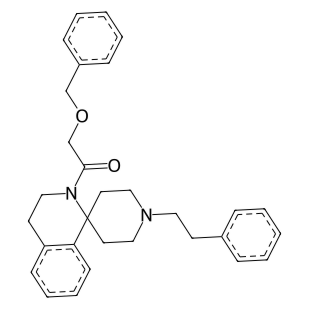 O=C(COCc1ccccc1)N1CCc2ccccc2C12CCN(CCc1ccccc1)CC2